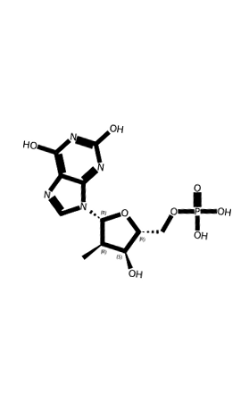 C[C@@H]1[C@H](O)[C@@H](COP(=O)(O)O)O[C@H]1n1cnc2c(O)nc(O)nc21